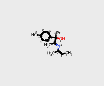 C/C=C(C)\N=C(/C)C(O)(c1ccc(C#N)cc1)C(C)C